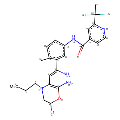 CCC1CN(CCOC)C(/C=C(\N)c2cc(NC(=O)c3ccnc(C(C)(F)F)c3)ccc2C)=C(N)O1